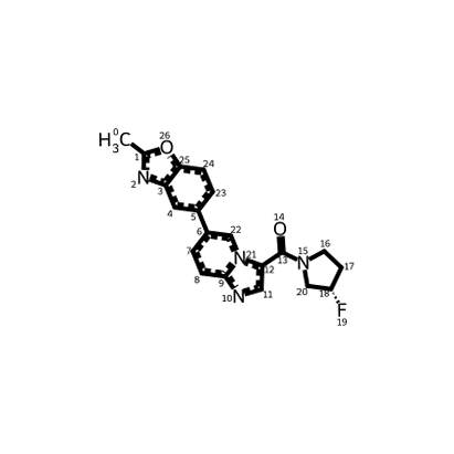 Cc1nc2cc(-c3ccc4ncc(C(=O)N5CC[C@H](F)C5)n4c3)ccc2o1